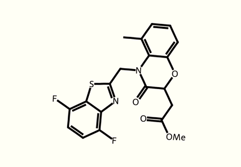 COC(=O)CC1Oc2cccc(C)c2N(Cc2nc3c(F)ccc(F)c3s2)C1=O